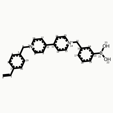 C=Cc1ccc(C[n+]2ccc(-c3cc[n+](Cc4cccc(B(O)O)c4)cc3)cc2)cc1